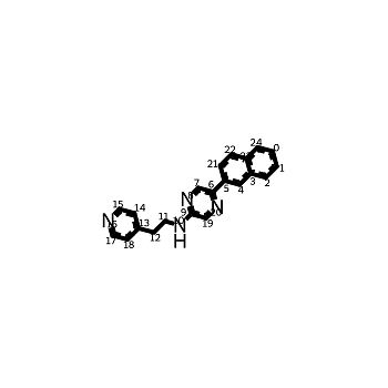 c1ccc2cc(-c3cnc(NCCc4ccncc4)cn3)ccc2c1